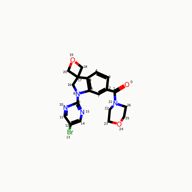 O=C(c1ccc2c(c1)N(c1ncc(Br)cn1)CC21COC1)N1CCOCC1